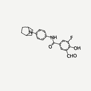 O=Cc1cc(C(=O)Nc2ccc(N3C4CCC3CC4)cc2)cc(F)c1O